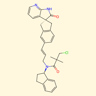 CC(C)(CCl)C(=O)N(C/C=C/c1ccc2c(c1)C[C@@]1(C2)C(=O)Nc2ncccc21)[C@@H]1CCc2ccccc21